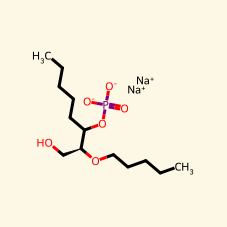 CCCCCO[C@@H](CO)C(CCCCC)OP(=O)([O-])[O-].[Na+].[Na+]